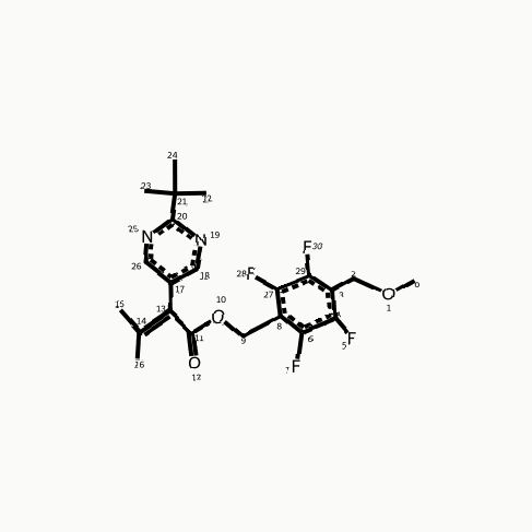 COCc1c(F)c(F)c(COC(=O)C(=C(C)C)c2cnc(C(C)(C)C)nc2)c(F)c1F